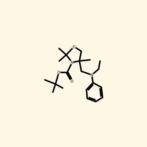 CCN(CC1(C)COC(C)(C)N1C(=O)OC(C)(C)C)c1ccccc1